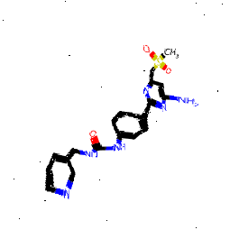 CS(=O)(=O)Cc1cc(N)nc(-c2ccc(NC(=O)NCc3cccnc3)cc2)n1